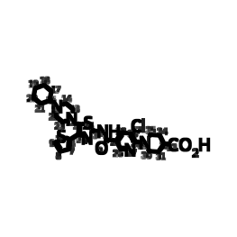 O=C(Nc1nc(-c2cccs2)c(N2CCN(C3CCCCC3)CC2)s1)c1cnc(N2CCC(C(=O)O)CC2)c(Cl)c1